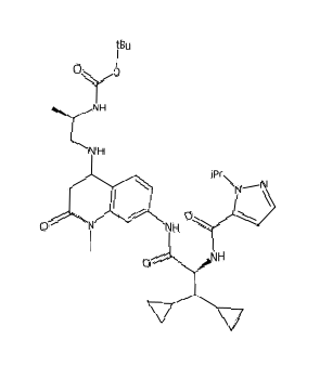 CC(C)n1nccc1C(=O)N[C@H](C(=O)Nc1ccc2c(c1)N(C)C(=O)CC2NC[C@@H](C)NC(=O)OC(C)(C)C)C(C1CC1)C1CC1